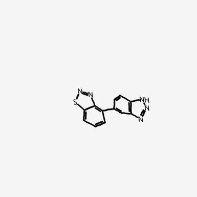 [c]1c(-c2cccc3snnc23)ccc2[nH]nnc12